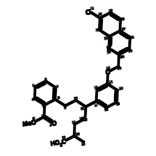 COC(=O)c1ccccc1CCC(SCC(C)C(=O)O)c1cccc(OCc2ccc3ccc(Cl)cc3n2)c1